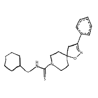 S=C(NCC1CCCCC1)N1CCC2(CC1)CC(c1ccccc1)=NO2